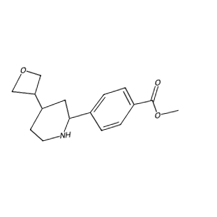 COC(=O)c1ccc(C2CC(C3COC3)CCN2)cc1